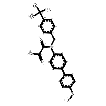 CSc1ccc(-c2ccc(N(Cc3ccc(C(C)(C)C)cc3)C(=O)C(=O)O)cc2)cc1